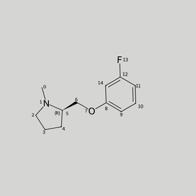 CN1CCC[C@@H]1COc1cccc(F)c1